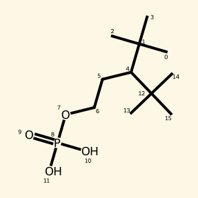 CC(C)(C)C(CCOP(=O)(O)O)C(C)(C)C